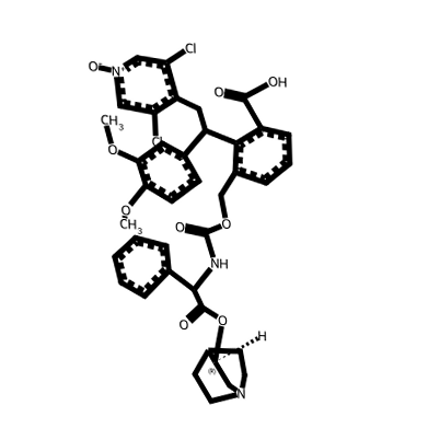 COc1ccc(C(Cc2c(Cl)c[n+]([O-])cc2Cl)c2c(COC(=O)NC(C(=O)O[C@H]3CN4CCC3CC4)c3ccccc3)cccc2C(=O)O)cc1OC